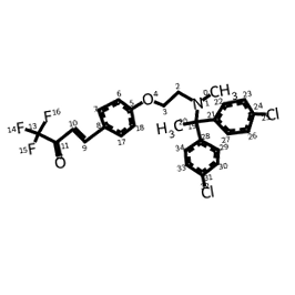 CN(CCOc1ccc(C=CC(=O)C(F)(F)F)cc1)C(C)(c1ccc(Cl)cc1)c1ccc(Cl)cc1